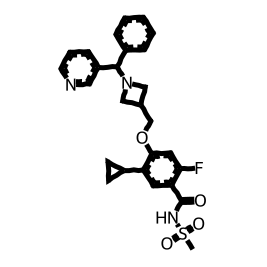 CS(=O)(=O)NC(=O)c1cc(C2CC2)c(OCC2CN(C(c3ccccc3)c3cccnc3)C2)cc1F